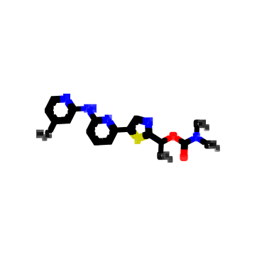 Cc1ccnc(Nc2cccc(-c3cnc(C(C)OC(=O)N(C)C)s3)n2)c1